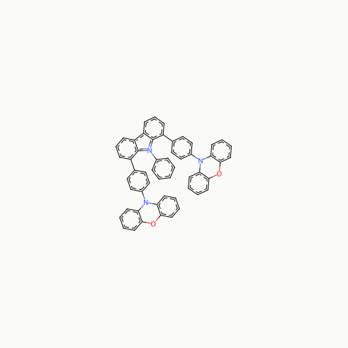 c1ccc(-n2c3c(-c4ccc(N5c6ccccc6Oc6ccccc65)cc4)cccc3c3cccc(-c4ccc(N5c6ccccc6Oc6ccccc65)cc4)c32)cc1